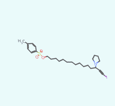 Cc1ccc(S(=O)(=O)OCCCCCCCCCCCCC(C#CI)N2CCCC2)cc1